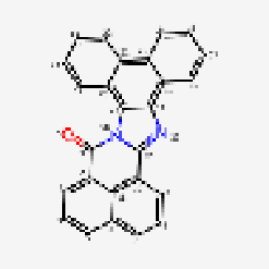 O=c1c2cccc3cccc(c32)c2nc3c4ccccc4c4ccccc4c3n12